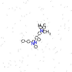 C/C=C\c1c(C)n(-c2ccc(-c3ccc(-c4cc(-c5ccc(-c6ccccc6)cc5)nc(-c5ccccc5)n4)c4ccccc34)cc2)c2ccccc12